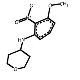 COc1cccc(NC2CCOCC2)c1[N+](=O)[O-]